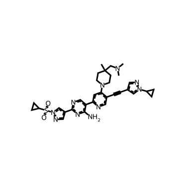 CN(C)CC1(C)CCN(c2cc(-c3cnc(-c4cnn(S(=O)(=O)C5CC5)c4)nc3N)ncc2C#Cc2cnn(C3CC3)c2)CC1